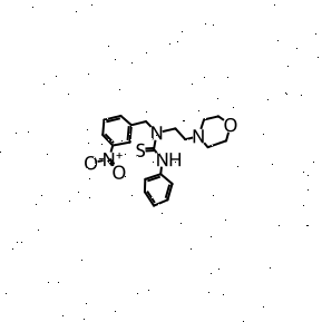 O=[N+]([O-])c1cccc(CN(CCN2CCOCC2)C(=S)Nc2ccccc2)c1